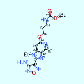 CCn1c(-c2nonc2N)nc2c(Cl)nc(OCCCNC(=O)OC(C)(C)C)cc21